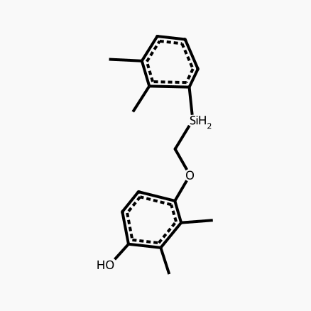 Cc1cccc([SiH2]COc2ccc(O)c(C)c2C)c1C